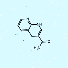 NC(=O)C1=CNc2ncccc2C1